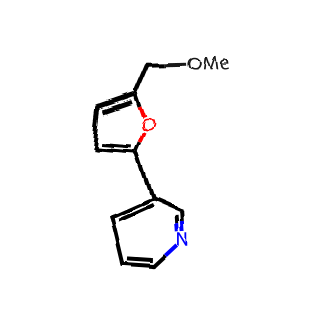 COCc1ccc(-c2cccnc2)o1